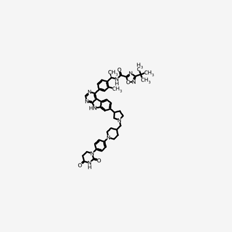 Cc1cc(-c2ncnc3[nH]c4cc(C5CCN(CC6CCN(c7ccc(N8CCC(=O)NC8=O)cc7)CC6)C5)ccc4c23)ccc1[C@@H](C)NC(=O)c1nc(C(C)(C)C)no1